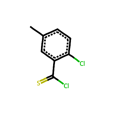 Cc1ccc(Cl)c(C(=S)Cl)c1